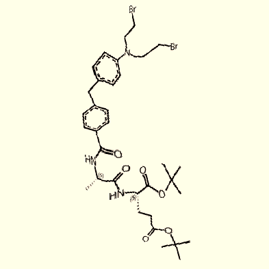 C[C@H](NC(=O)c1ccc(Cc2ccc(N(CCBr)CCBr)cc2)cc1)C(=O)N[C@@H](CCC(=O)OC(C)(C)C)C(=O)OC(C)(C)C